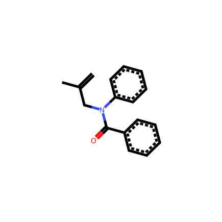 C=C(C)CN(C(=O)c1ccccc1)c1ccccc1